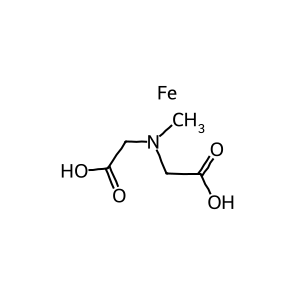 CN(CC(=O)O)CC(=O)O.[Fe]